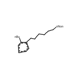 CCCCCCCCCCCCCCCc1[c]cccc1CCCC